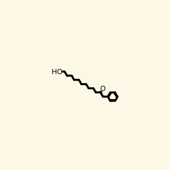 O=C(CCCCCCCCCCO)Cc1ccccc1